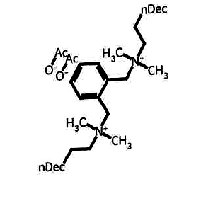 CC(=O)[O-].CC(=O)[O-].CCCCCCCCCCCC[N+](C)(C)Cc1ccccc1C[N+](C)(C)CCCCCCCCCCCC